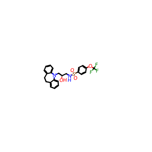 O=S(=O)(NC[C@@H](O)CN1c2ccccc2CCc2ccccc21)c1ccc(OC(F)(F)F)cc1